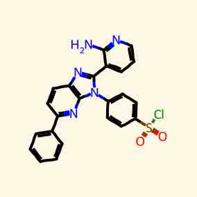 Nc1ncccc1-c1nc2ccc(-c3ccccc3)nc2n1-c1ccc(S(=O)(=O)Cl)cc1